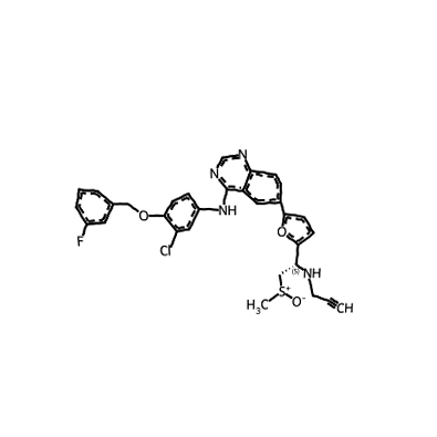 C#CCN[C@H](C[S+](C)[O-])c1ccc(-c2ccc3ncnc(Nc4ccc(OCc5cccc(F)c5)c(Cl)c4)c3c2)o1